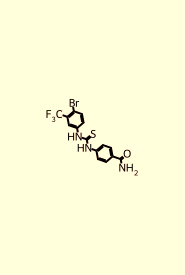 NC(=O)c1ccc(NC(=S)Nc2ccc(Br)c(C(F)(F)F)c2)cc1